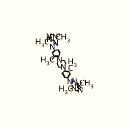 Cc1cc(/N=N/c2n(C)nc[n+]2C)ccc1N1CCN(c2ccc(/N=N/c3n(C)nc[n+]3C)cc2C)CC1